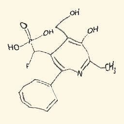 Cc1nc(-c2ccccc2)c(C(F)P(=O)(O)O)c(CO)c1O